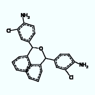 Nc1ccc(C(OC(c2ccccc2)c2ccc(N)c(Cl)c2)c2ccccc2)cc1Cl